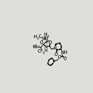 CC(C)C(NC(=O)Cn1cccc(NC(=O)OCc2ccccc2)c1=O)(O[SiH](C)C)C(C(C)(C)C)C(F)(F)F